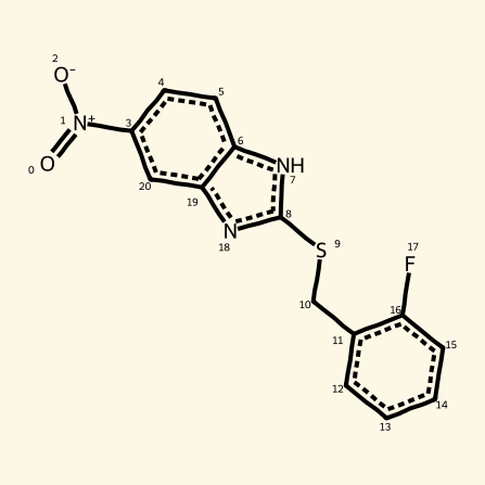 O=[N+]([O-])c1ccc2[nH]c(SCc3ccccc3F)nc2c1